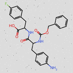 Nc1ccc(CC(NC(=O)OCc2ccccc2)C(=O)NC(Cc2ccc(F)cc2)C(=O)O)cc1